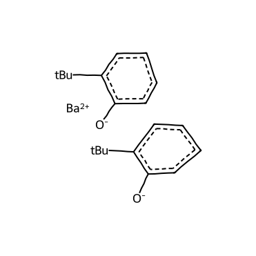 CC(C)(C)c1ccccc1[O-].CC(C)(C)c1ccccc1[O-].[Ba+2]